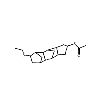 CCSC1CC2CC1C1C3CC(C4CC(SC(C)=O)CC43)C21